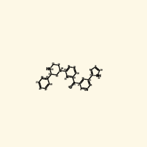 O=C(c1cncc(-c2ccc[nH]2)c1)c1cccc(N2CCNC(c3ccccc3)C2)n1